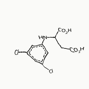 O=C(O)CC(Nc1cc(Cl)cc(Cl)c1)C(=O)O